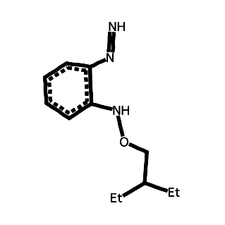 CCC(CC)CONc1ccccc1N=N